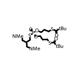 CNCC(CNC)CSP(=O)(OCCCSC(=O)C(C)(C)C)OCCCSC(=O)C(C)(C)C